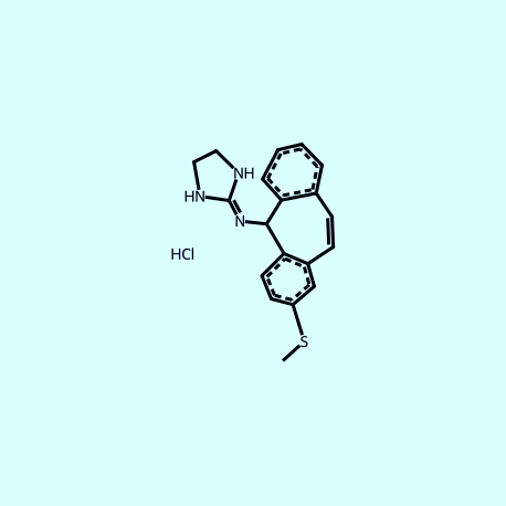 CSc1ccc2c(c1)C=Cc1ccccc1C2N=C1NCCN1.Cl